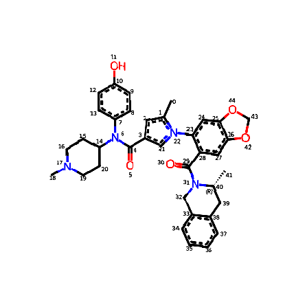 Cc1cc(C(=O)N(c2ccc(O)cc2)C2CCN(C)CC2)cn1-c1cc2c(cc1C(=O)N1Cc3ccccc3C[C@H]1C)OCO2